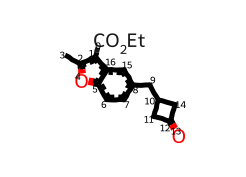 CCOC(=O)c1c(C)oc2ccc(CC3CC(=O)C3)cc12